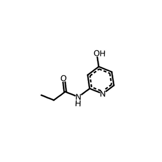 CCC(=O)Nc1cc(O)ccn1